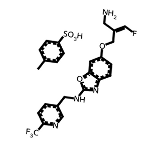 Cc1ccc(S(=O)(=O)O)cc1.NC/C(=C/F)COc1ccc2nc(NCc3ccc(C(F)(F)F)nc3)oc2c1